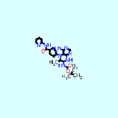 C=C1[C@H](NC(=O)OC(C)(C)C)Nc2ncnc(N)c2N1c1ccc(C(=O)Nc2ccccn2)cc1